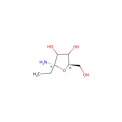 CC[C@]1(N)O[C@H](CO)C(O)C1O